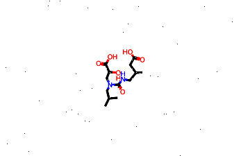 CC(C)CN(CC(O)C(=O)O)C(=O)NCC(C)CC(=O)O